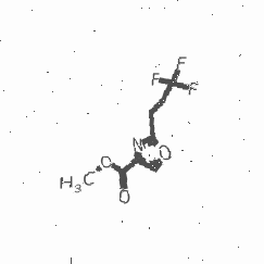 COC(=O)c1coc(CCC(F)(F)F)n1